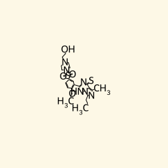 CCCc1nc(C)c2c(=S)nc(-c3cc(S(=O)(=O)N4CCN(CCO)CC4)ccc3OCC)[nH]n12